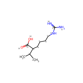 CC(C)C(CCCCNC(=N)N)C(=O)O